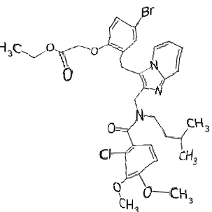 CCOC(=O)COc1ccc(Br)cc1Cc1c(CN(CCC(C)C)C(=O)c2ccc(OC)c(OC)c2Cl)nc2ccccn12